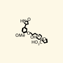 COc1ccc(C2CNC(=O)C2)cc1OCC(O)CN1CCN(C2(C(=O)O)CC=CO2)CC1